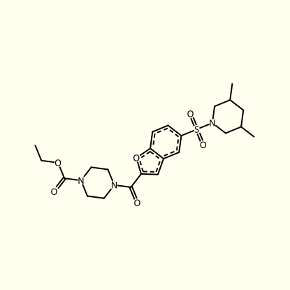 CCOC(=O)N1CCN(C(=O)c2cc3cc(S(=O)(=O)N4CC(C)CC(C)C4)ccc3o2)CC1